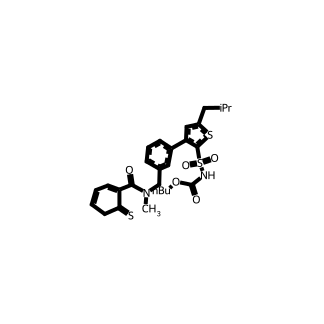 CCCCOC(=O)NS(=O)(=O)c1sc(CC(C)C)cc1-c1cccc(CN(C)C(=O)C2=CC=CCC2=S)c1